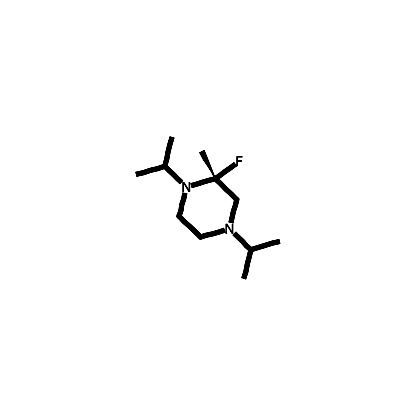 CC(C)N1CCN(C(C)C)[C@](C)(F)C1